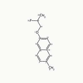 Cc1ccc2cc(OCC(C)F)ccc2c1